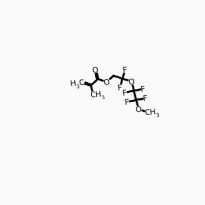 C=C(C)C(=O)OCC(F)(F)OC(F)(F)C(F)(F)OC